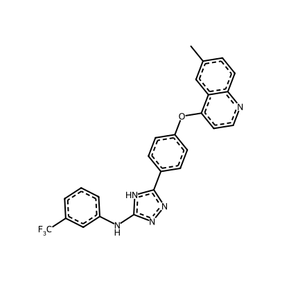 Cc1ccc2nccc(Oc3ccc(-c4nnc(Nc5cccc(C(F)(F)F)c5)[nH]4)cc3)c2c1